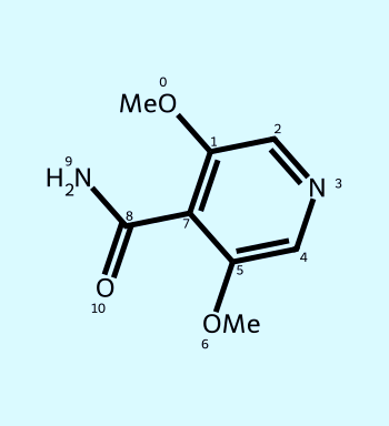 COc1cncc(OC)c1C(N)=O